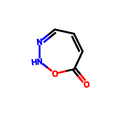 O=C1C=CC=NNO1